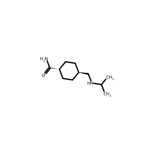 CC(C)NC[C@H]1CC[C@H](C(N)=O)CC1